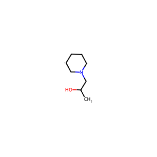 CC(O)CN1C[CH]CCC1